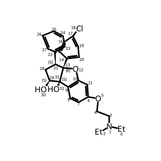 CCN(CC)CCOc1ccc2c(c1)O[C@@]1(c3ccc(Cl)cc3)[C@H](c3ccccc3)C[C@H](O)[C@@]21O